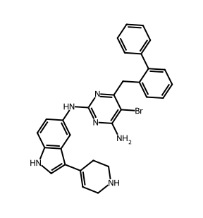 Nc1nc(Nc2ccc3[nH]cc(C4=CCNCC4)c3c2)nc(Cc2ccccc2-c2ccccc2)c1Br